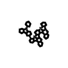 c1ccc(-n2c3ccccc3c3cc(-c4cccc5c6c7ccccc7cc7c8c9c%10c%11ccccc%11cc%11c%12ccccc%12n(c9ccc8n(c45)c76)c%11%10)ccc32)cc1